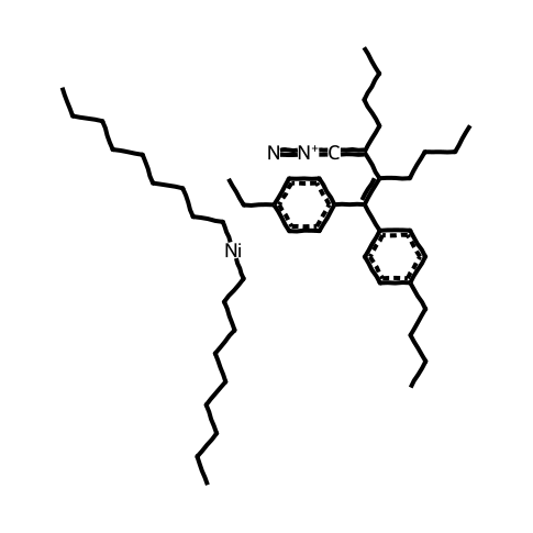 CCCCC(=C=[N+]=[N-])C(CCCC)=C(c1ccc(CC)cc1)c1ccc(CCCC)cc1.CCCCCCCC[CH2][Ni][CH2]CCCCCCCC